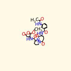 CCO[C@@H]1OC(=O)C[C@@H]1NC(=O)[C@@H]1CCCN2C(=O)CC[C@H](NC(=O)c3cccc(NC(C)=O)c3)C(=O)N12